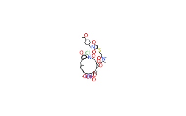 COc1cc2cc(c1Cl)N(C)C(=O)C[C@H](OC(=O)[C@H](C)N(C)C(=O)CCSC1=CC(=O)N(CC3CCC(C(C)=O)CC3)C1=O)[C@]1(C)CC1[C@H](C)[C@@H]1C[C@@](O)(NC(=O)O1)[C@H](OC)/C=C/C=C(\C)C2